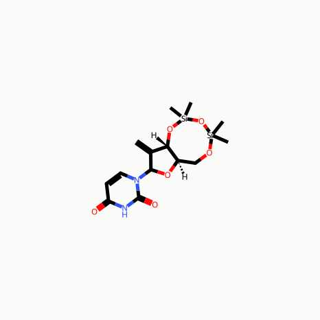 C=C1C(n2ccc(=O)[nH]c2=O)O[C@@H]2CO[Si](C)(C)O[Si](C)(C)O[C@@H]12